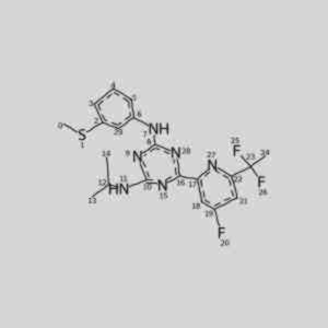 CSc1cccc(Nc2nc(NC(C)C)nc(-c3cc(F)cc(C(C)(F)F)n3)n2)c1